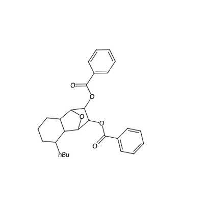 CCCCC1CCCC2C3OC(C(OC(=O)c4ccccc4)C3OC(=O)c3ccccc3)C12